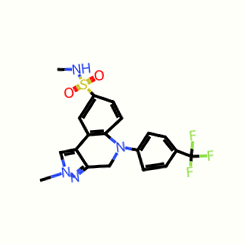 CNS(=O)(=O)c1ccc2c(c1)-c1cn(C)nc1CN2c1ccc(C(F)(F)F)cc1